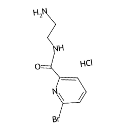 Cl.NCCNC(=O)c1cccc(Br)n1